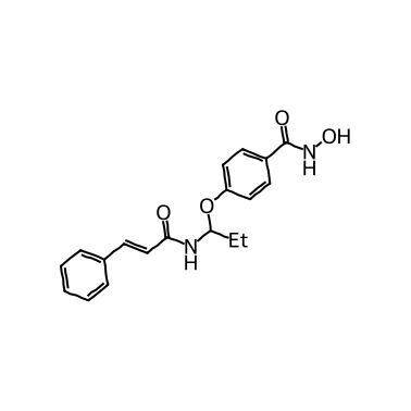 CCC(NC(=O)/C=C/c1ccccc1)Oc1ccc(C(=O)NO)cc1